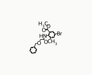 COC(=O)c1cc(Br)cc(C)c1NC(=O)COCc1ccccc1